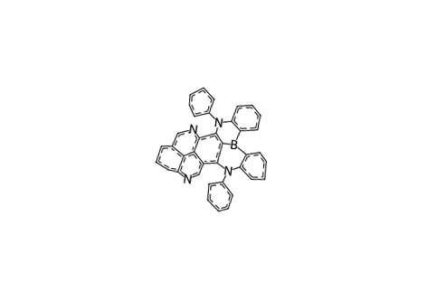 c1ccc(N2c3ccccc3B3c4ccccc4N(c4ccccc4)c4c3c2c2cnc3cccc5cnc4c2c53)cc1